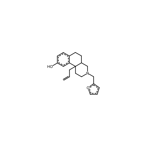 C=CCC12CCN(Cc3ccco3)CC1CCc1ccc(O)cc12